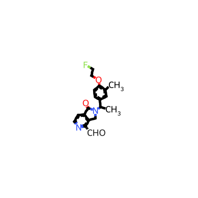 Cc1cc(C(C)N2Cc3c(ccnc3C=O)C2=O)ccc1OCCF